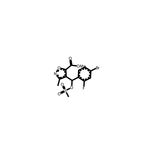 COC(=O)c1onc(C)c1C(OS(C)(=O)=O)c1ccc(Br)cc1F